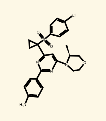 C[C@H]1COCCN1c1cc(C2(S(=O)(=O)c3ccc(Cl)cc3)CC2)nc(-c2ccc(N)cc2)n1